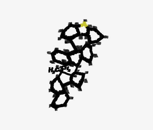 CC1(C)c2ccc3ccccc3c2-c2cccc(-c3c4ccccc4c(-c4cccc5sc6ccccc6c45)c4ccccc34)c21